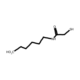 O=C(O)CCCCCNC(=O)CS